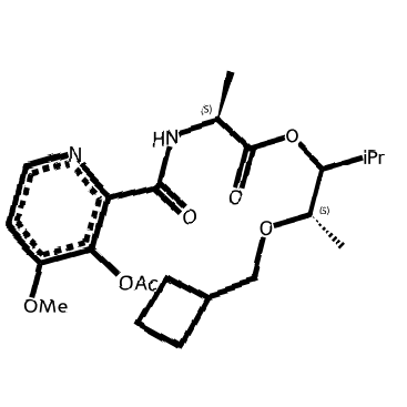 COc1ccnc(C(=O)N[C@@H](C)C(=O)OC(C(C)C)[C@H](C)OCC2CCC2)c1OC(C)=O